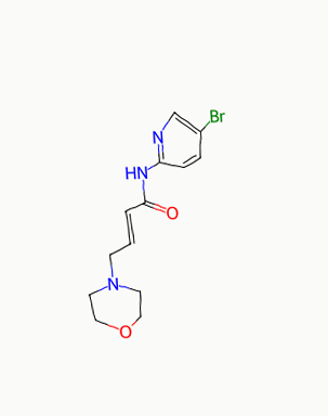 O=C(C=CCN1CCOCC1)Nc1ccc(Br)cn1